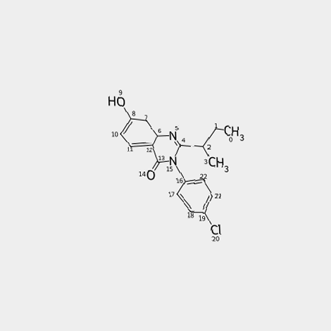 CCC(C)C1=NC2CC(O)=CC=C2C(=O)N1c1ccc(Cl)cc1